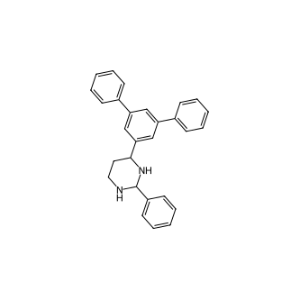 c1ccc(-c2cc(-c3ccccc3)cc(C3CCNC(c4ccccc4)N3)c2)cc1